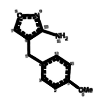 COc1ccc(Cc2conc2N)cc1